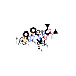 C[C@@H](C1(NC(=O)N[C@H](C(=O)N2C[C@H]3[C@@H]([C@H]2C(=O)N[C@@H](CCC2CC2)C(=O)C(=O)NC2CC2)C3(C)C)C2(C)CCCCC2)CCCCC1)S(=O)(=O)C(C)(C)C